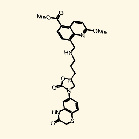 COC(=O)c1ccc(CNCCC[C@H]2CN(c3ccc4c(c3)NC(=O)CS4)C(=O)O2)c2nc(OC)ccc12